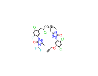 C#CCOc1cc(-n2nc3n(c2=O)CCCC3)c(Cl)cc1Cl.CCOC(=O)C(Cl)Cc1cc(-n2nc(C)n(C(F)F)c2=O)c(F)cc1Cl